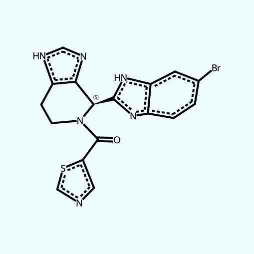 O=C(c1cncs1)N1CCc2[nH]cnc2[C@H]1c1nc2ccc(Br)cc2[nH]1